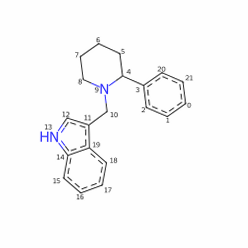 c1ccc(C2CCCCN2Cc2c[nH]c3ccccc23)cc1